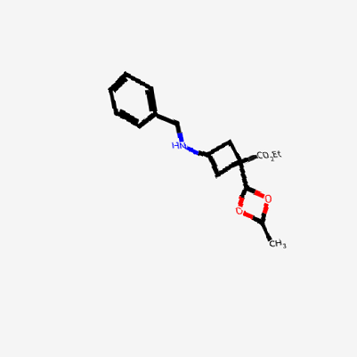 CCOC(=O)C1(C2OC(C)O2)CC(NCc2ccccc2)C1